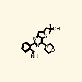 CC(C)(O)Cc1cc2nc(-c3ccccc3C=N)nc(N3CCOCC3)c2s1